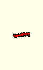 C=C(C)C(=O)OCOc1ccc(C=CC(=O)Oc2ccc(S(=O)(=O)c3ccc(OC(=O)C=Cc4ccc(OCOC(=O)C(=C)C)cc4)cc3)cc2)cc1